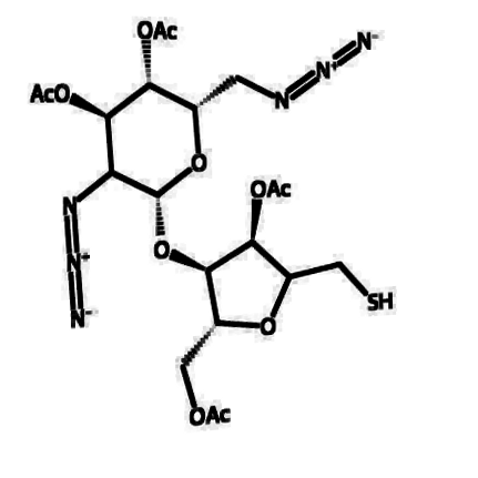 CC(=O)OC[C@H]1OC(CS)[C@H](OC(C)=O)[C@@H]1O[C@H]1O[C@@H](CN=[N+]=[N-])[C@@H](OC(C)=O)[C@H](OC(C)=O)C1N=[N+]=[N-]